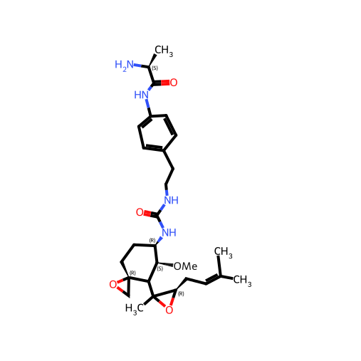 CO[C@H]1C(C2(C)O[C@@H]2CC=C(C)C)[C@]2(CC[C@H]1NC(=O)NCCc1ccc(NC(=O)[C@H](C)N)cc1)CO2